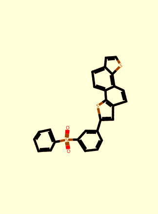 O=S(=O)(c1ccccc1)c1cccc(-c2cc3ccc4c(ccc5ccsc54)c3s2)c1